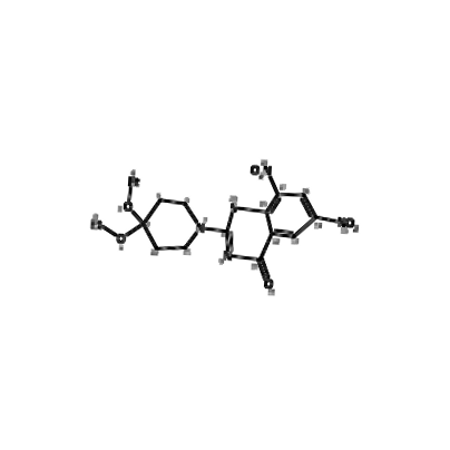 CCOC1(OCC)CCN(c2nc(=O)c3cc([N+](=O)[O-])cc([N+](=O)[O-])c3s2)CC1